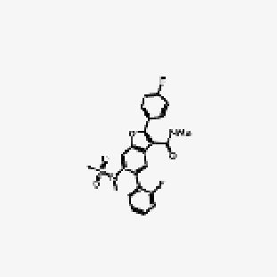 CNC(=O)c1c(-c2ccc(F)cc2)oc2cc(N(C)S(C)(=O)=O)c(-c3ccccc3F)cc12